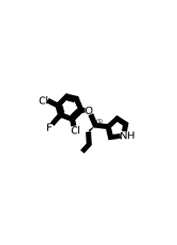 CCC[C@H](Oc1ccc(Cl)c(F)c1Cl)C1CCNC1